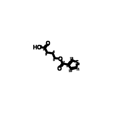 O=C(O)CCCOC(=O)c1ccsc1